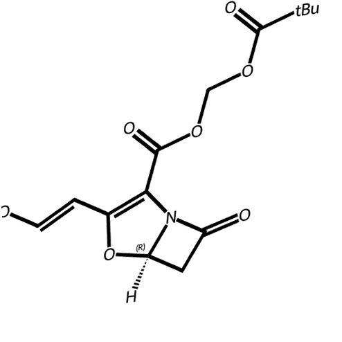 CC(C)(C)C(=O)OCOC(=O)C1=C(C=CO)O[C@@H]2CC(=O)N12